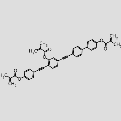 C=C(C)C(=O)Oc1ccc(C#Cc2ccc(C#Cc3ccc(-c4ccc(OC(=O)C(=C)C)cc4)cc3)cc2OC(=O)C(=C)C)cc1